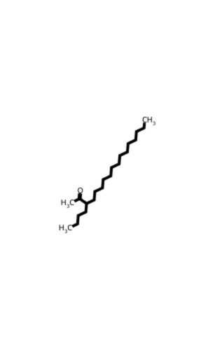 CCCCCCCCCCCCCCC(CCCC)C(C)=O